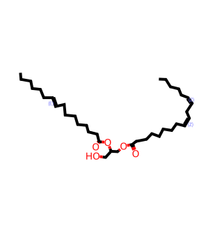 CCCCC/C=C\C/C=C\CCCCCCCC(=O)OCC(CO)OC(=O)CCCCCCC/C=C/CCCCCC